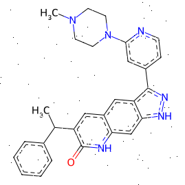 CC(c1ccccc1)c1cc2cc3c(-c4ccnc(N5CCN(C)CC5)c4)n[nH]c3cc2[nH]c1=O